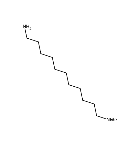 CNCCCCCCCCCCCN